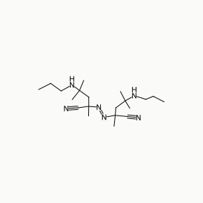 CCCNC(C)(C)CC(C)(C#N)N=NC(C)(C#N)CC(C)(C)NCCC